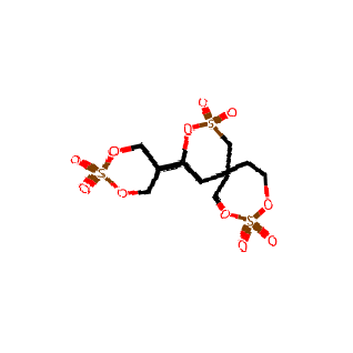 O=S1(=O)CC2(CCOS(=O)(=O)OC2)CC(C2COS(=O)(=O)OC2)O1